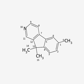 Cc1ccc2c(c1)-c1ccncc1C2(C)C